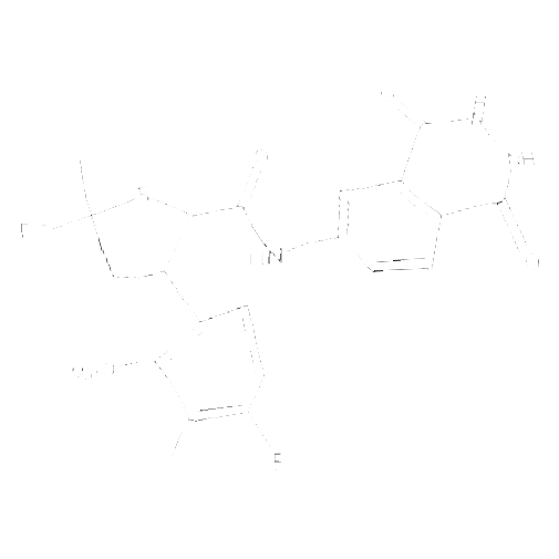 COc1c(C2CC(C)(C(F)(F)F)SC2C(=O)Nc2ccc3c(=O)[nH][nH]c(=O)c3c2)ccc(F)c1F